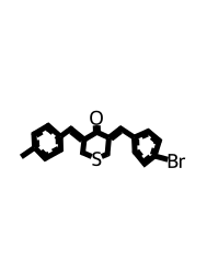 Cc1ccc(/C=C2\CSC/C(=C\c3ccc(Br)cc3)C2=O)cc1